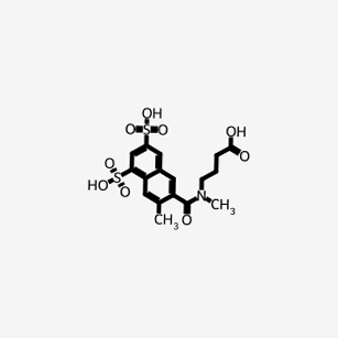 Cc1cc2c(S(=O)(=O)O)cc(S(=O)(=O)O)cc2cc1C(=O)N(C)CCCC(=O)O